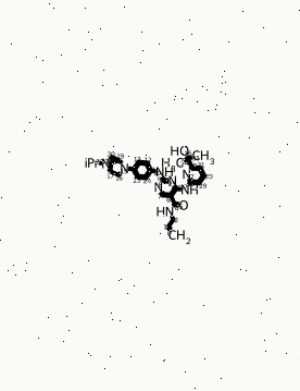 C=CCNC(=O)c1cnc(Nc2ccc(N3CC4CC3CN4C(C)C)cc2)nc1Nc1cccc(C(C)(C)O)n1